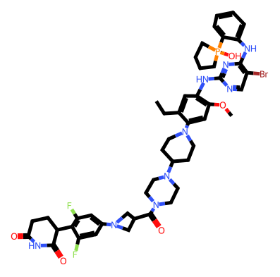 CCc1cc(Nc2ncc(Br)c(Nc3ccccc3[P]3(O)CCCC3)n2)c(OC)cc1N1CCC(N2CCN(C(=O)C3CN(c4cc(F)c(C5CCC(=O)NC5=O)c(F)c4)C3)CC2)CC1